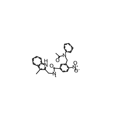 CC(=O)N(Cc1cc(C(=O)N(C)Cc2[nH]c3ccccc3c2C)ccc1[N+](=O)[O-])c1ccccc1